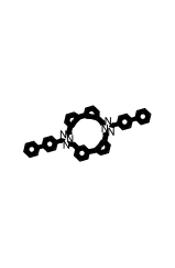 c1ccc(-c2ccc(-c3nc4nc(n3)c3cccc(c3)c3cccc(c3)c3nc(-c5ccc(-c6ccccc6)cc5)nc(n3)c3cccc(c3)c3cccc4c3)cc2)cc1